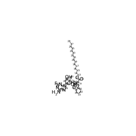 C#C[C@]1(CO[P@](=O)(N[C@@H](C)C(=O)OCCCCCCCCCCCCCCCC)Oc2ccccc2)O[C@@H](n2cnc3c(N)nc(F)nc32)C[C@@H]1O